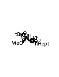 CCCCCCCOc1ccc(CCC(CC)(COCOC)NC(=O)OC(C)(C)C)cc1C(F)(F)F